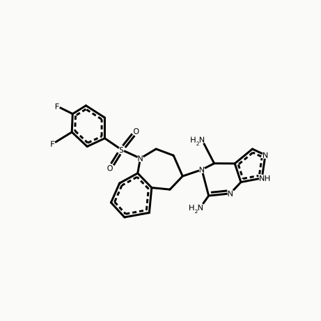 NC1=Nc2[nH]ncc2C(N)N1C1CCN(S(=O)(=O)c2ccc(F)c(F)c2)c2ccccc2C1